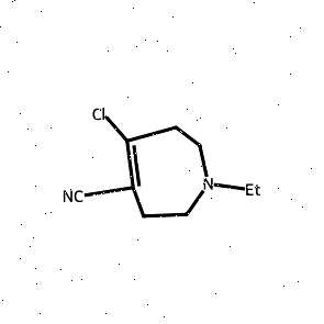 CCN1CCC(Cl)=C(C#N)CC1